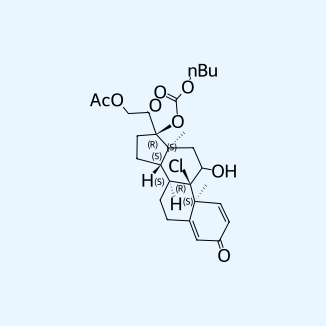 CCCCOC(=O)O[C@]1(C(=O)COC(C)=O)CC[C@H]2[C@@H]3CCC4=CC(=O)C=C[C@]4(C)[C@@]3(Cl)C(O)C[C@@]21C